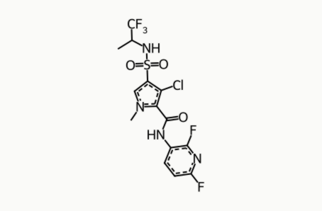 CC(NS(=O)(=O)c1cn(C)c(C(=O)Nc2ccc(F)nc2F)c1Cl)C(F)(F)F